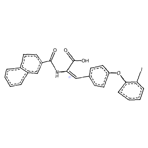 O=C(O)/C(=C\c1ccc(Oc2ccccc2I)cc1)NC(=O)c1ccc2ccccc2c1